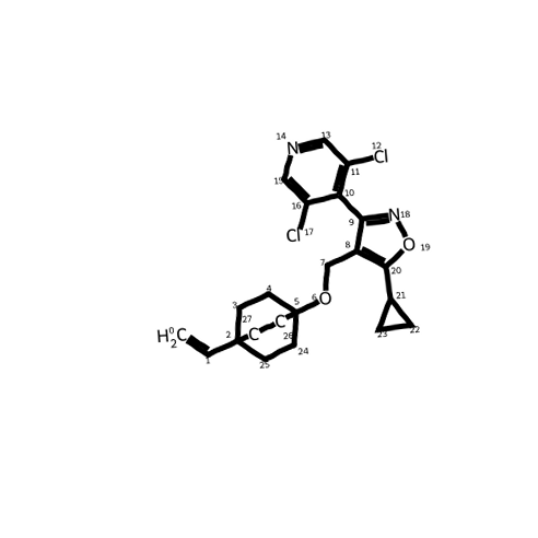 C=CC12CCC(OCc3c(-c4c(Cl)cncc4Cl)noc3C3CC3)(CC1)CC2